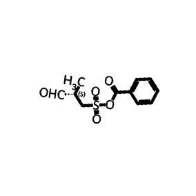 C[C@@H](C=O)CS(=O)(=O)OC(=O)c1ccccc1